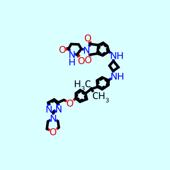 CC(C)(c1ccc(NC2CC(Nc3ccc4c(c3)C(=O)N(C3CCC(=O)NC3=O)C4=O)C2)cc1)c1ccc(OCc2ccnc(N3CCOCC3)n2)cc1